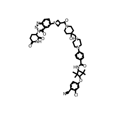 CC1(C)C(NC(=O)c2ccc(N3CCN(CC4(O)CCN(C(=O)C5CN(c6ccc7nnn(C8CCC(=O)NC8=O)c(=O)c7c6)C5)CC4)CC3)cc2)C(C)(C)C1Oc1ccc(C#N)c(Cl)c1